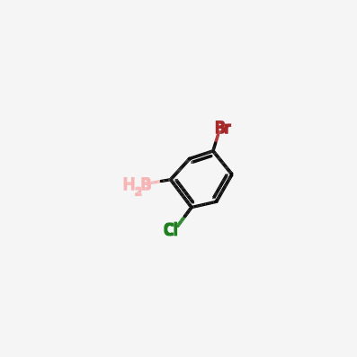 Bc1cc(Br)ccc1Cl